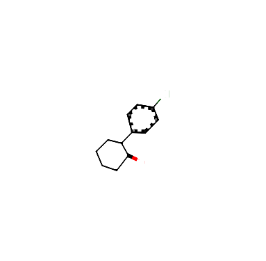 O=C1CCC[CH]C1c1ccc(Cl)cc1